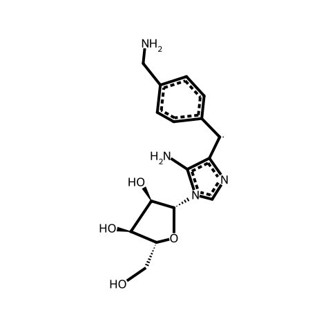 NCc1ccc([CH]c2ncn([C@@H]3O[C@H](CO)[C@@H](O)[C@H]3O)c2N)cc1